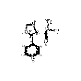 CCN(CC)C(=O)[C@H]1N=CO[C@@H]1c1ccncc1